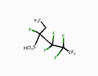 O=S(=O)(O)C(F)(CC(F)(F)F)C(F)(F)C(F)(F)C(F)(F)F